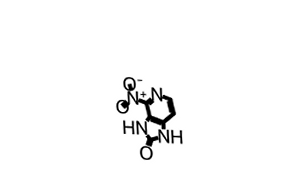 O=c1[nH]c2ccnc([N+](=O)[O-])c2[nH]1